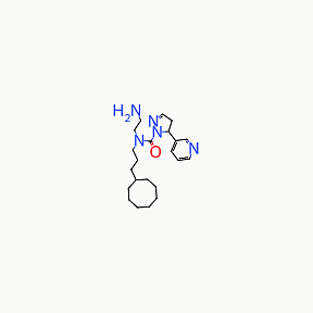 NCCN(CCCC1CCCCCCC1)C(=O)N1N=CCC1c1cccnc1